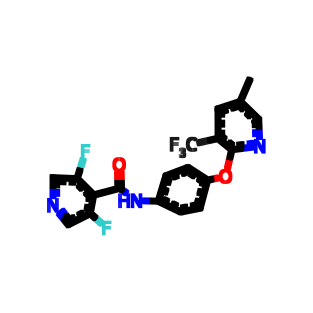 Cc1cnc(Oc2ccc(NC(=O)c3c(F)cncc3F)cc2)c(C(F)(F)F)c1